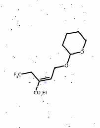 CCOC(=O)/C(=C/COC1CCCCO1)CC(F)(F)F